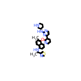 Cc1ccc2c(N[C@H](C)c3cscn3)cccc2c1Oc1ncccc1-c1ccnc(N[C@H]2CCCNC2)n1